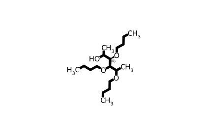 CCCCOC(C)C(OCCCC)[C@H](OCCCC)C(C)O